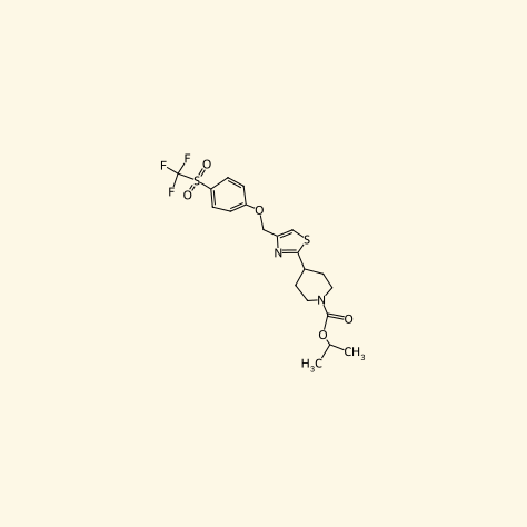 CC(C)OC(=O)N1CCC(c2nc(COc3ccc(S(=O)(=O)C(F)(F)F)cc3)cs2)CC1